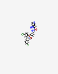 O=C(NCc1ccc(S(=O)(=O)N(Cc2cccc(Cl)c2)Cc2cccc(Cl)c2)cc1)c1cc2cnccc2[nH]1